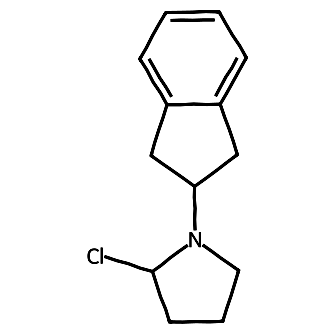 ClC1CCCN1C1Cc2ccccc2C1